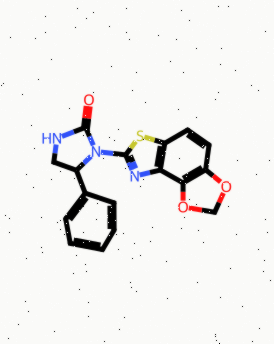 O=C1NCC(c2ccccc2)N1c1nc2c3c(ccc2s1)OCO3